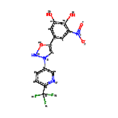 O=[N+]([O-])c1cc(C2=CN(c3ccc(C(F)(F)F)nc3)NO2)cc(O)c1O